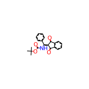 CC(C)(C)OC(=O)NC(=C1C(=O)c2ccccc2C1=O)c1ccccc1